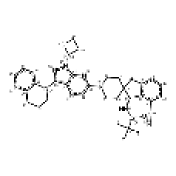 CC(C)(C)[S@@+]([O-])N[C@@H]1c2c(C#N)cccc2CC12CCN(c1cnc3c(N4CCCc5ncccc54)nn([C@H]4CCO4)c3n1)CC2